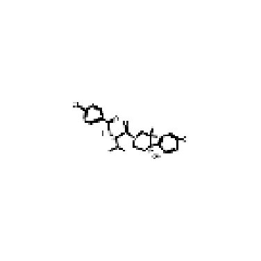 CC(C)[C@@H](NC(=O)c1ccc(Cl)nc1)C(=O)N1CC[C@](O)(c2ccc(Cl)cc2)C(C)(C)C1